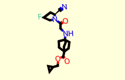 N#C[C@@H]1C[C@H](F)CN1C(=O)CNC12CCC(C(=O)OCC3CC3)(CC1)CC2